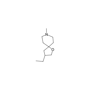 CCC1COC2(CCN(C)CC2)C1